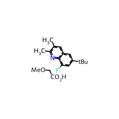 COCC(=O)O.Cc1cc2cc(C(C)(C)C)cc(F)c2nc1C